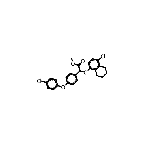 COC(=O)C(Oc1ccc(Cl)c2c1CCCC2)c1ccc(Oc2ccc(Cl)cc2)cc1